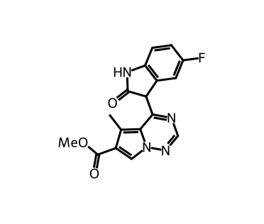 COC(=O)c1cn2ncnc(C3C(=O)Nc4ccc(F)cc43)c2c1C